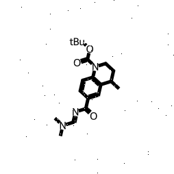 CC1CCN(C(=O)OC(C)(C)C)c2ccc(C(=O)/N=C/N(C)C)cc21